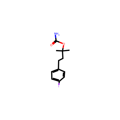 CC(C)(CCc1ccc(I)cc1)OC(N)=O